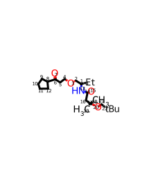 CCC(COCCC(=O)C1CCCC1)NC(=O)CC(C)(C)OCC(C)(C)C